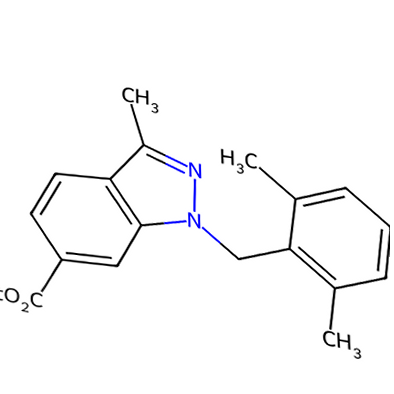 CCOC(=O)c1ccc2c(C)nn(Cc3c(C)cccc3C)c2c1